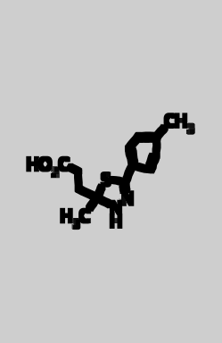 Cc1ccc(C2=NNC(C)(CCC(=O)O)S2)cc1